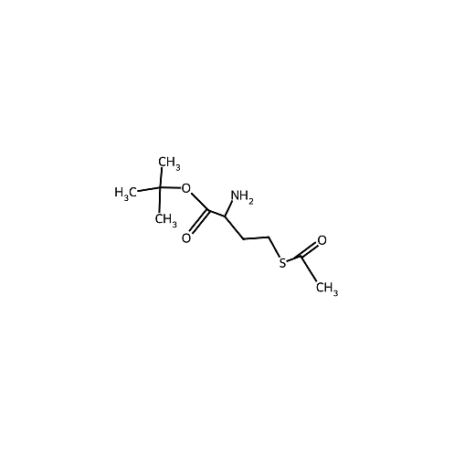 CC(=O)SCCC(N)C(=O)OC(C)(C)C